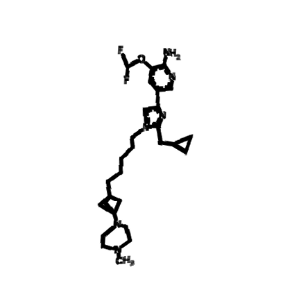 CN1CCN(C23CC(CCCCCn4cc(-c5cnc(N)c(OC(F)F)c5)nc4CC4CC4)(C2)C3)CC1